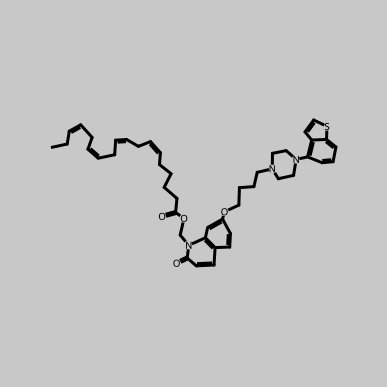 CC/C=C\C/C=C\C/C=C\C/C=C\CCCCC(=O)OCn1c(=O)ccc2ccc(OCCCCN3CCN(c4cccc5sccc45)CC3)cc21